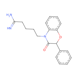 N=C(N)CCCCN1C(=O)C(c2ccccc2)Oc2ccccc21